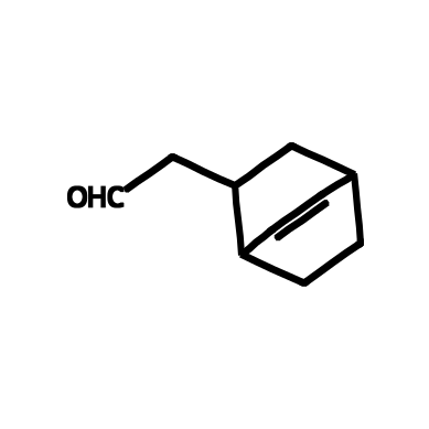 O=CCC1CC2C=CC1CC2